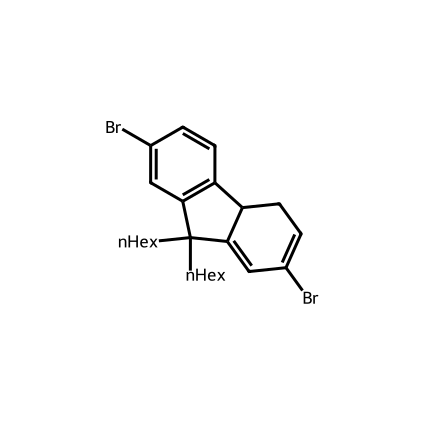 CCCCCCC1(CCCCCC)C2=CC(Br)=CCC2c2ccc(Br)cc21